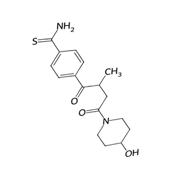 CC(CC(=O)N1CCC(O)CC1)C(=O)c1ccc(C(N)=S)cc1